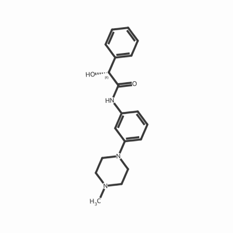 CN1CCN(c2cccc(NC(=O)[C@H](O)c3ccccc3)c2)CC1